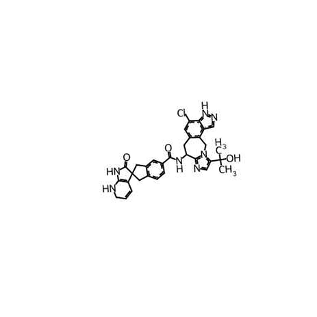 CC(C)(O)c1cnc2n1Cc1c(cc(Cl)c3[nH]ncc13)CC2NC(=O)c1ccc2c(c1)CC1(C2)C(=O)NC2=C1C=CCN2